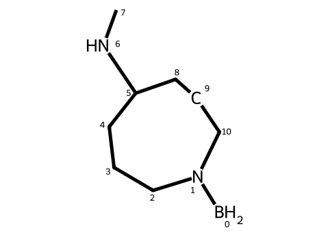 BN1CCCC(NC)CCC1